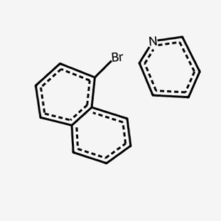 Brc1cccc2ccccc12.c1ccncc1